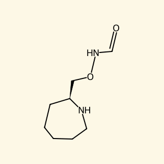 O=CNOC[C@@H]1CCCCCN1